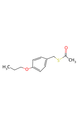 CCCOc1ccc(CSC(C)=O)cc1